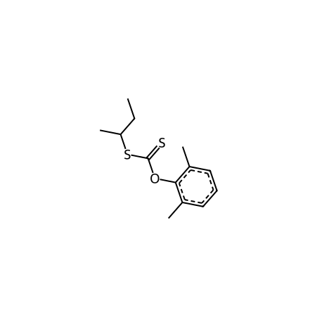 CCC(C)SC(=S)Oc1c(C)cccc1C